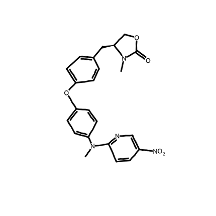 CN(c1ccc(Oc2ccc(C[C@H]3COC(=O)N3C)cc2)cc1)c1ccc([N+](=O)[O-])cn1